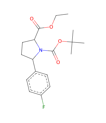 CCOC(=O)C1CCC(c2ccc(F)cc2)N1C(=O)OC(C)(C)C